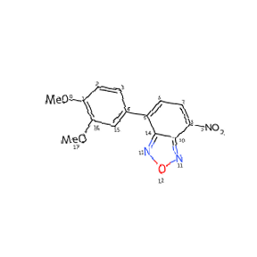 COc1ccc(-c2ccc([N+](=O)[O-])c3nonc23)cc1OC